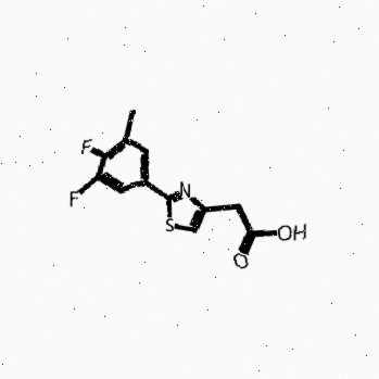 Cc1cc(-c2nc(CC(=O)O)cs2)cc(F)c1F